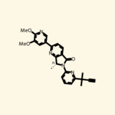 C#CC(C)(C)c1cccc(N2C(=O)c3ccc(-c4cnc(OC)c(OC)c4)nc3[C@H]2C)n1